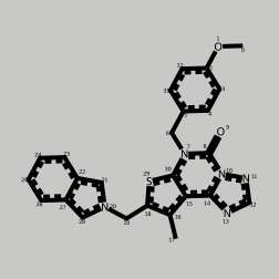 COc1ccc(Cn2c(=O)n3ncnc3c3c(C)c(Cn4cc5ccccc5c4)sc32)cc1